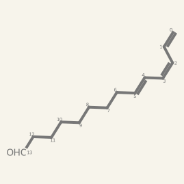 C=C/C=C\C=C\CCCCCCCC=O